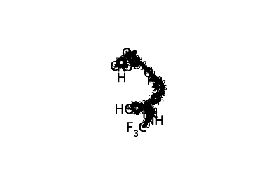 Cn1c(=O)n([C@H]2CCC(=O)NC2=O)c2ccc(CCCOCC(F)CN3CCN(Cc4ccc(-c5cn([C@H]6CC[C@H](O)CC6)c6nc(NCCC(F)(F)F)ncc56)cc4)CC3)cc21